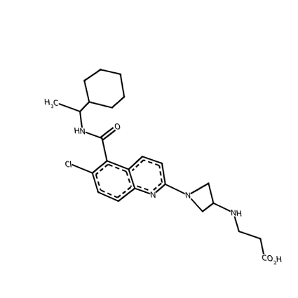 CC(NC(=O)c1c(Cl)ccc2nc(N3CC(NCCC(=O)O)C3)ccc12)C1CCCCC1